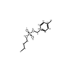 CCCCOS(=O)(=O)OC[n+]1ccc(C)cc1